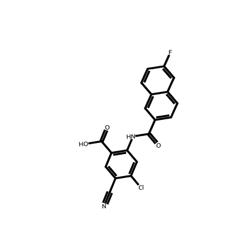 N#Cc1cc(C(=O)O)c(NC(=O)c2ccc3cc(F)ccc3c2)cc1Cl